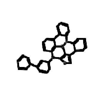 c1ccc(-c2cccc(N3c4cccc5c4B4c6c(coc63)-c3ccccc3N4c3ccccc3-5)c2)cc1